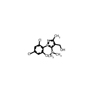 Cc1nn(-c2c(Cl)cc(Cl)cc2Cl)c(N(C)C)c1CO